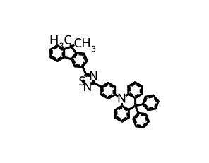 CC1(C)c2ccccc2-c2cc(-c3nc(-c4ccc(N5c6ccccc6C(c6ccccc6)(c6ccccc6)c6ccccc65)cc4)ns3)ccc21